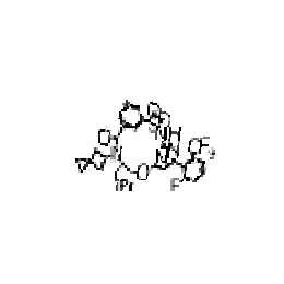 CC(C)C[C@@H]1COc2cc(-c3c(F)cccc3C(F)(F)F)nc(n2)NS(=O)(=O)c2cccc(c2)C(=O)N1C1CC2(CC2)C1